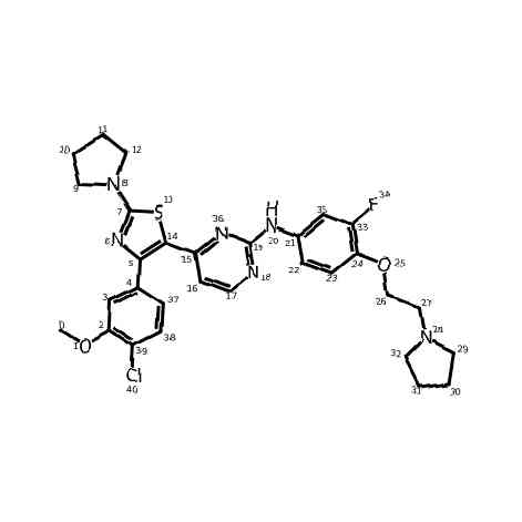 COc1cc(-c2nc(N3CCCC3)sc2-c2ccnc(Nc3ccc(OCCN4CCCC4)c(F)c3)n2)ccc1Cl